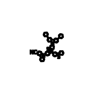 N#Cc1ccc2c(c1)c1ccccc1n2-c1ccc2c(c1)Sc1cc(-n3c4ccc(-c5ccccc5)cc4c4cc(-c5ccccc5)ccc43)ccc1N2c1ccc2sc3ccccc3c2c1